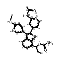 CCC(OC(N)=O)c1ccnc2c(-c3ccc(OC)nc3)c(-c3ccnc(NC(C)=O)c3)[nH]c12